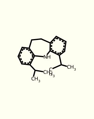 CC(C)c1cccc2c1Nc1c(cccc1C(C)C)CC2